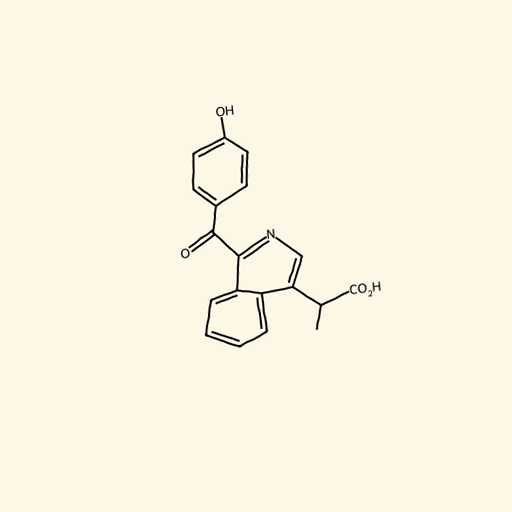 CC(C(=O)O)c1cnc(C(=O)c2ccc(O)cc2)c2ccccc12